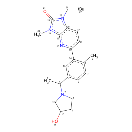 Cc1ccc(C(C)N2CCC(O)C2)cc1-c1ccc2c(n1)n(C)c(=O)n2CC(C)(C)C